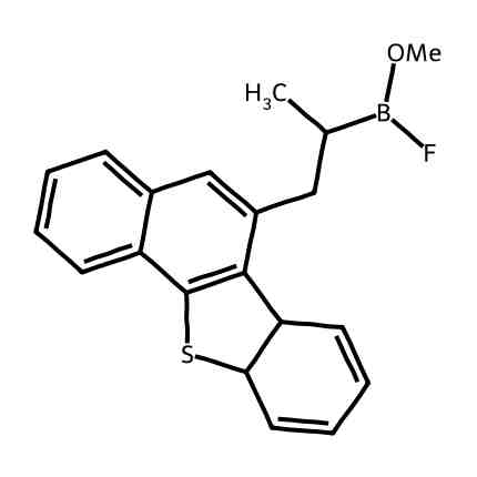 COB(F)C(C)Cc1cc2ccccc2c2c1C1C=CC=CC1S2